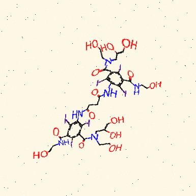 O=C(CCC(=O)Nc1c(I)c(C(=O)NCCO)c(I)c(C(=O)N(CCO)CC(O)CO)c1I)Nc1c(I)c(C(=O)NCCO)c(I)c(C(=O)N(CCO)CC(O)CO)c1I